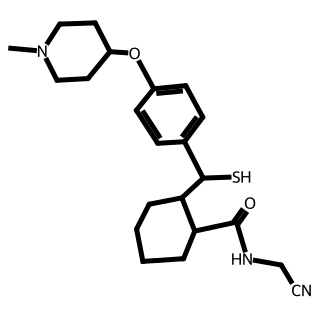 CN1CCC(Oc2ccc(C(S)C3CCCCC3C(=O)NCC#N)cc2)CC1